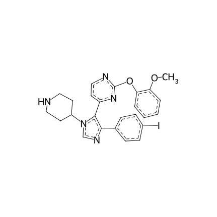 COc1ccccc1Oc1nccc(-c2c(-c3ccc(I)cc3)ncn2C2CCNCC2)n1